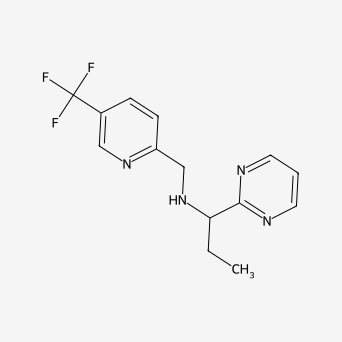 CCC(NCc1ccc(C(F)(F)F)cn1)c1ncccn1